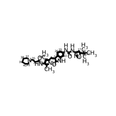 Cc1[nH]c(/C=C2\C(=O)Nc3cc(NC(=O)Nc4cc(C(C)(C)C)on4)ccc32)c(C)c1NC(=O)CCN1CCCCC1